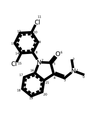 CN(C)C=C1C(=O)N(c2cc(Cl)ccc2Cl)c2ccccc21